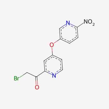 O=C(CBr)c1cc(Oc2ccc([N+](=O)[O-])nc2)ccn1